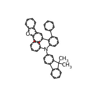 CC1(C)c2ccccc2-c2ccc(N(c3ccccc3)c3cccc(-c4ccccc4)c3-c3ccc4oc5ccccc5c4c3)cc21